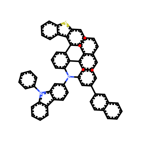 c1ccc(-n2c3ccccc3c3ccc(N(c4cccc(-c5ccc6ccccc6c5)c4)c4cccc(-c5cccc6sc7ccccc7c56)c4-c4cccc5ccccc45)cc32)cc1